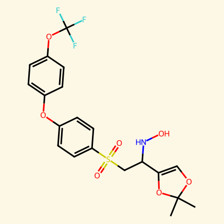 CC1(C)OC=C(C(CS(=O)(=O)c2ccc(Oc3ccc(OC(F)(F)F)cc3)cc2)NO)O1